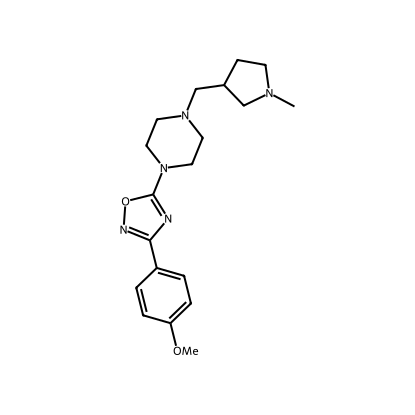 COc1ccc(-c2noc(N3CCN(CC4CCN(C)C4)CC3)n2)cc1